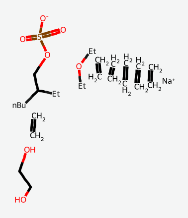 C=C.C=C.C=C.C=C.C=C.C=C.CCCCC(CC)COS(=O)(=O)[O-].CCOCC.OCCO.[Na+]